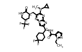 CCn1nccc1C(=O)N[C@H](c1cn2nc(C[C@H]3C[C@@H](C(F)(F)F)CNC3=O)c(N(C)C3CC3)nc2n1)C1CCC(F)(F)CC1